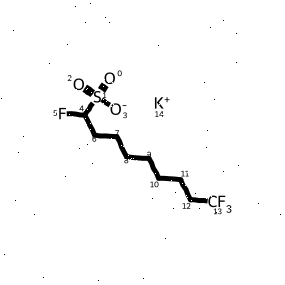 O=S(=O)([O-])C(F)CCCCCCCC(F)(F)F.[K+]